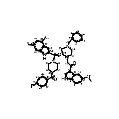 COc1ccc2[nH]cc(C(=O)CN3CCN(Cc4ccccc4)CC3)c2c1.Cc1cc(C)c2cc(C(=O)N3CCC(C(=O)c4ccc(F)cc4)CC3)[nH]c2c1